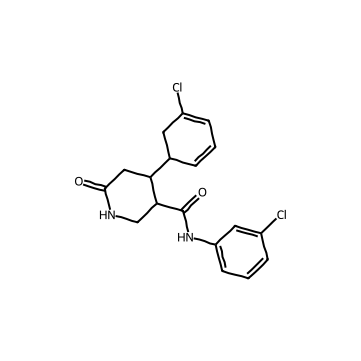 O=C1CC(C2C=CC=C(Cl)C2)C(C(=O)Nc2cccc(Cl)c2)CN1